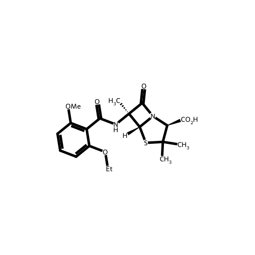 CCOc1cccc(OC)c1C(=O)N[C@@]1(C)C(=O)N2[C@@H](C(=O)O)C(C)(C)S[C@@H]21